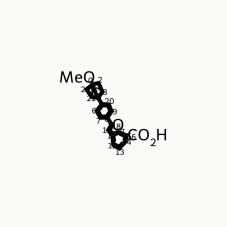 COC12CCC(c3ccc(-c4cc5cccc(C(=O)O)c5o4)cc3)(CC1)CC2